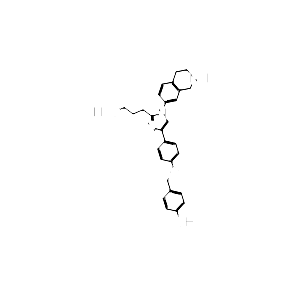 CCCCc1nc(-c2ccc(OCc3ccc(C)cc3)cc2)cn1-c1ccc2c(c1)CNCC2